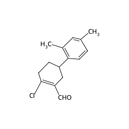 Cc1ccc(C2CCC(Cl)=C(C=O)C2)c(C)c1